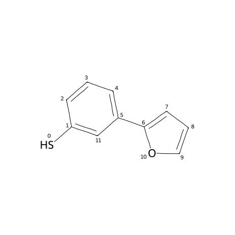 Sc1cccc(-c2ccco2)c1